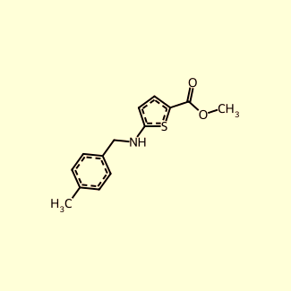 COC(=O)c1ccc(NCc2ccc(C)cc2)s1